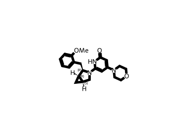 COc1ccccc1C[C@@H]1[C@@H]2C[C@@H]2CN1c1cc(N2CCOCC2)cc(=O)[nH]1